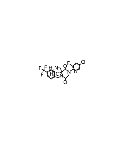 CC1(CN)C(=O)N(c2ncc(Cl)cc2F)CC(=O)N1Cc1ccc(C(F)(F)F)cc1